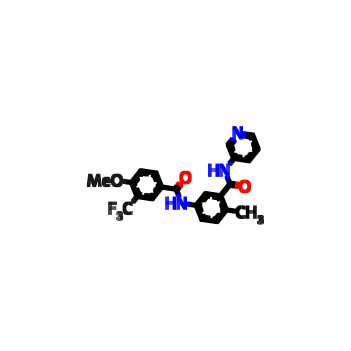 COc1ccc(C(=O)Nc2ccc(C)c(C(=O)Nc3cccnc3)c2)cc1C(F)(F)F